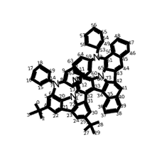 CC(C)(C)c1cc(N(c2ccccc2)c2ccccc2)c2c(c1)c1cc(C(C)(C)C)cc3c4c5c6c7ccccc7cc7c8cc9ccccc9c(N(c9ccccc9)c9ccccc9)c8n(c5cnc4n2c13)c76